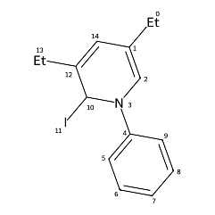 CCC1=CN(c2ccccc2)C(I)C(CC)=C1